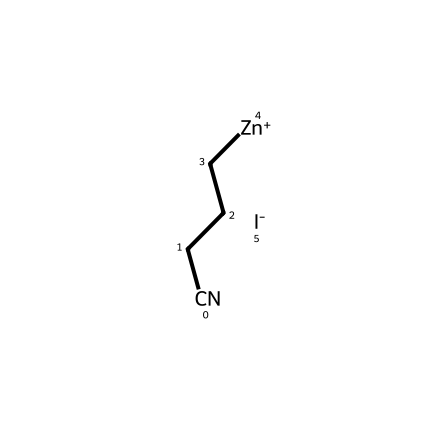 N#CCC[CH2][Zn+].[I-]